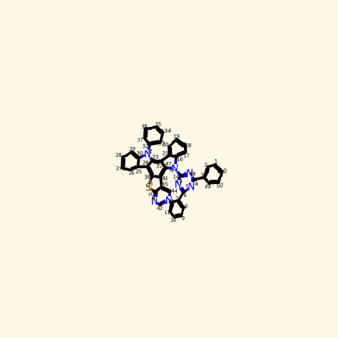 c1ccc(-c2nc(-c3ccccc3)nc(-n3c4ccccc4c4c5c(c6ccccc6n5-c5ccccc5)c5sc6ncncc6c5c43)n2)cc1